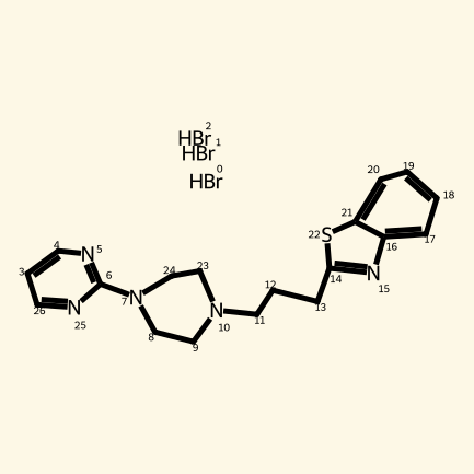 Br.Br.Br.c1cnc(N2CCN(CCCc3nc4ccccc4s3)CC2)nc1